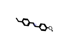 CCc1ccc(/C=C/c2ccc(OC)cc2)cc1